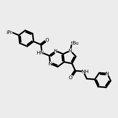 CC(C)c1ccc(C(=O)Nc2ncc3c(C(=O)NCc4cccnc4)cn(C(C)(C)C)c3n2)cc1